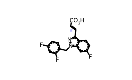 O=C(O)/C=C/c1nn(Cc2ccc(F)cc2F)c2cc(F)ccc12